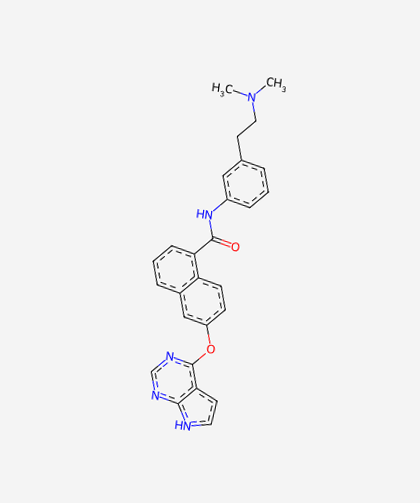 CN(C)CCc1cccc(NC(=O)c2cccc3cc(Oc4ncnc5[nH]ccc45)ccc23)c1